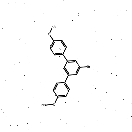 CCCCOc1ccc(-c2cc(Br)cc(-c3ccc(OCCCC)cc3)c2)cc1